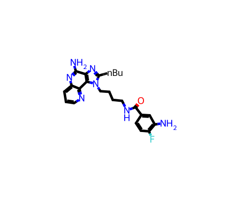 CCCCc1nc2c(N)nc3cccnc3c2n1CCCCNC(=O)c1ccc(F)c(N)c1